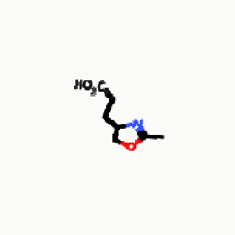 CC1=NC(CCC(=O)O)CO1